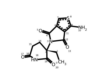 CC[C@]1(N2C(=O)c3csc(N)c3C2=O)CCC(=O)NC1=O